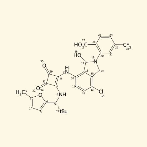 Cc1ccc([C@H](Nc2c(Nc3ccc(Cl)c4c3C(O)N(c3cc(C(F)(F)F)ccc3C(=O)O)C4)c(=O)c2=O)C(C)(C)C)o1